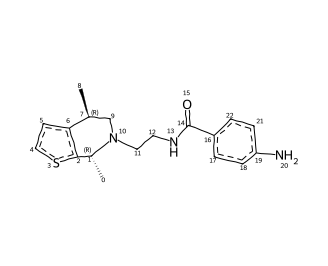 C[C@@H]1c2sccc2[C@@H](C)CN1CCNC(=O)c1ccc(N)cc1